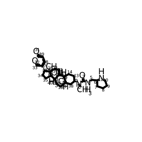 CN(C(=O)NCC1CCCCN1)[C@H]1CC[C@@]2(C)[C@H](CC[C@@H]3[C@@H]2CC[C@]2(C)[C@@H](c4ccc(=O)oc4)CC[C@]32O)C1